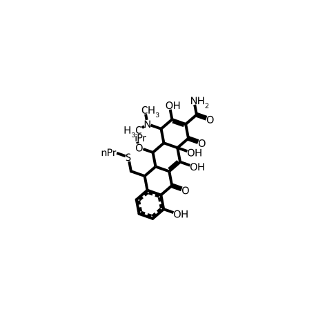 CCCSCC1c2cccc(O)c2C(=O)C2=C(O)C3(O)C(=O)C(C(N)=O)=C(O)C(N(C)C)C3C(OC(C)C)C21